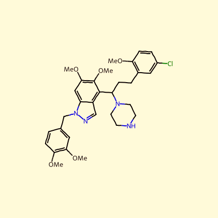 COc1ccc(Cl)cc1CCC(c1c(OC)c(OC)cc2c1cnn2Cc1ccc(OC)c(OC)c1)N1CCNCC1